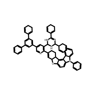 C1=CCC(C2N=C(C3=CCCC=C3)NC(c3cc(-c4cc(C5=CCCC=C5)cc(-c5ccccc5)c4)cnc3C3=CC4Oc5ccc6c(c5C4CC3)c3ccccc3n6-c3ccccc3)N2)C=C1